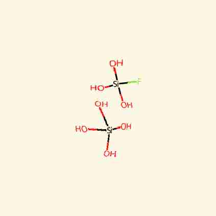 O[Si](O)(O)F.O[Si](O)(O)O